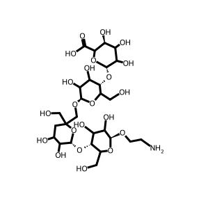 NCCO[C@H]1OC(CO)[C@H](O[C@H]2OC(CO)(CO[C@@H]3OC(CO)[C@@H](O[C@@H]4OC(C(=O)O)[C@@H](O)C(O)C4O)C(O)C3O)CC(O)C2O)C(O)C1O